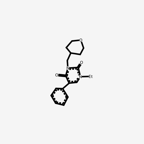 CCn1cc(-c2ccccc2)c(=O)n(CC2CCOCC2)c1=O